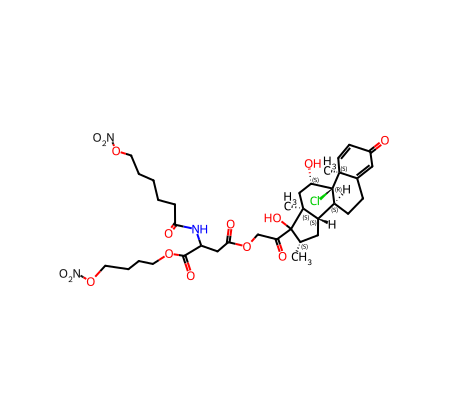 C[C@H]1C[C@H]2[C@@H]3CCC4=CC(=O)C=C[C@]4(C)[C@@]3(Cl)[C@@H](O)C[C@]2(C)C1(O)C(=O)COC(=O)CC(NC(=O)CCCCCO[N+](=O)[O-])C(=O)OCCCCO[N+](=O)[O-]